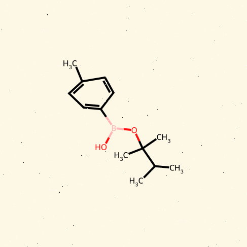 Cc1ccc(B(O)OC(C)(C)C(C)C)cc1